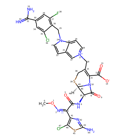 CO/N=C(\C(=O)N[C@@H]1C(=O)N2C(C(=O)[O-])=C(C[n+]3ccc4c(ccn4Cc4c(F)cc(C(=N)N)cc4Cl)c3)CS[C@H]12)c1nc(N)sc1Cl